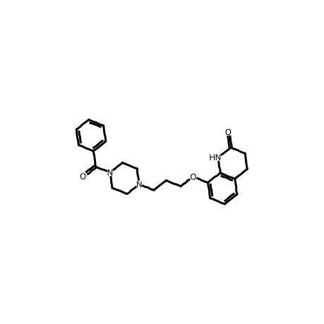 O=C1CCc2cccc(OCCCN3CCN(C(=O)c4ccccc4)CC3)c2N1